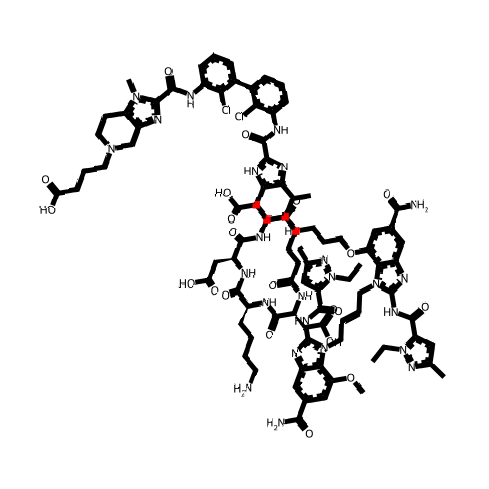 CCn1nc(C)cc1C(=O)Nc1nc2cc(C(N)=O)cc(OC)c2n1C/C=C/Cn1c(NC(=O)c2cc(C)nn2CC)nc2cc(C(N)=O)cc(OCCCNC(=O)[C@H](CC(=O)O)NC(=O)[C@H](CC(=O)O)NC(=O)[C@H](CCCCN)NC(=O)[C@H](CC(=O)O)NC(=O)CCCN3CCc4[nH]c(C(=O)Nc5cccc(-c6cccc(NC(=O)c7nc8c(n7C)CCN(CCCC(=O)O)C8)c6Cl)c5Cl)nc4C3C)c21